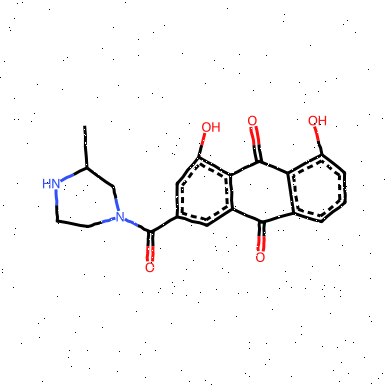 CC1CN(C(=O)c2cc(O)c3c(c2)C(=O)c2cccc(O)c2C3=O)CCN1